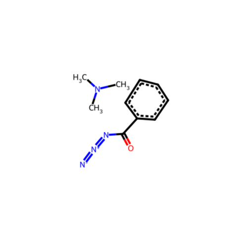 CN(C)C.[N-]=[N+]=NC(=O)c1ccccc1